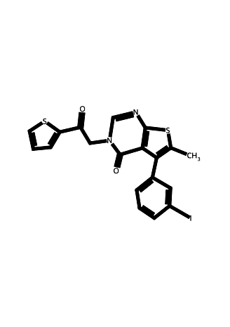 Cc1sc2ncn(CC(=O)c3cccs3)c(=O)c2c1-c1cccc(I)c1